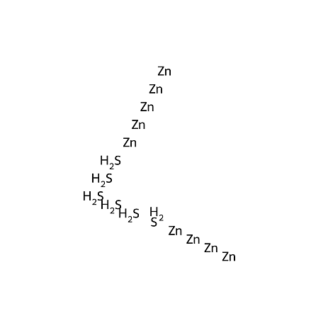 S.S.S.S.S.S.[Zn].[Zn].[Zn].[Zn].[Zn].[Zn].[Zn].[Zn].[Zn]